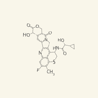 Cc1c(F)cc2nc3c(c4c2c1SCC4NC(=O)C(O)C1CC1)Cn1c-3cc2c(c1=O)COC(=O)C2O